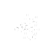 C[C@@H]1O[C@@H](O[C@H]2[C@H](O[C@H]3C[C@@H](OS(=O)(=O)O)[C@@H](O)[C@@H](CO)O3)[C@@H](CO)O[C@@H](O)[C@@]2(O)NC(=O)c2ccccc2)[C@@H](O)[C@H](O)[C@@H]1O.NC(=O)c1ccccc1